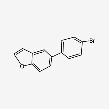 Brc1ccc(-c2ccc3occc3c2)cc1